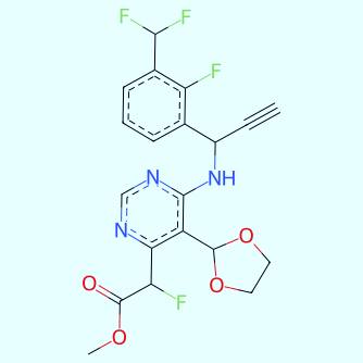 C#CC(Nc1ncnc(C(F)C(=O)OC)c1C1OCCO1)c1cccc(C(F)F)c1F